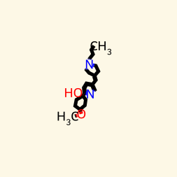 CCCCN1CCC(=Cc2ccc(C3(O)CCC(OC)CC3)nc2)CC1